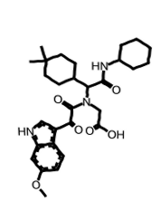 COc1ccc2c(C(=O)C(=O)N(CC(=O)O)C(C(=O)NC3CCCCC3)C3CCC(C)(C)CC3)c[nH]c2c1